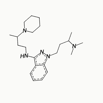 CC(CCn1nc(NCCC(C)N2CCCCC2)c2ccccc21)N(C)C